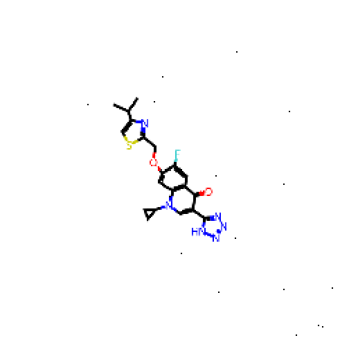 CC(C)c1csc(COc2cc3c(cc2F)c(=O)c(-c2nnn[nH]2)cn3C2CC2)n1